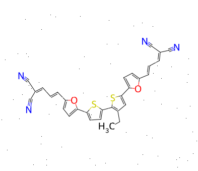 CCc1cc(-c2ccc(/C=C/C=C(C#N)C#N)o2)sc1-c1ccc(-c2ccc(/C=C/C=C(C#N)C#N)o2)s1